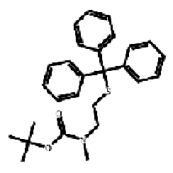 CN(CCSC(c1ccccc1)(c1ccccc1)c1ccccc1)C(=O)OC(C)(C)C